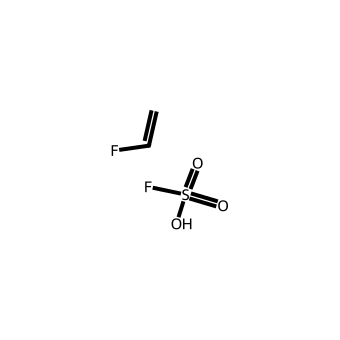 C=CF.O=S(=O)(O)F